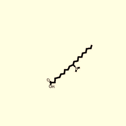 CCCCCCCCCC(CCCCCCCCC(=O)O)N(C)C